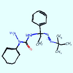 CC(C)(C)/N=N/C(C)(NC(=O)N(N)C1CCCCC1)c1ccccc1